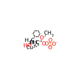 CCOC(C)=O.CO.Cc1ccccc1.O=S(=O)([O-])[O-].[Cu+2]